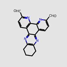 O=Cc1ccc2c(n1)c1nc(C=O)ccc1c1nc3c(nc21)CCCC3